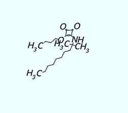 CCCCCCCCC(C)(C)Nc1c(OCCCC)c(=O)c1=O